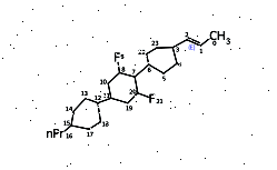 C/C=C/C1CCC(C2C(F)CC(C3CCC(CCC)CC3)CC2F)CC1